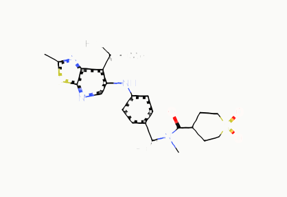 CO[C@H](c1c(Nc2ccc([C@H](N(C)C(=O)C3CCS(=O)(=O)CC3)C(F)(F)F)cc2)cnc2sc(C)nc12)C(F)(F)F